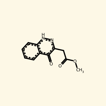 COC(=O)Cc1n[nH]c2ccccc2c1=O